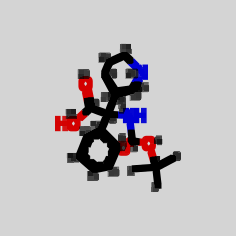 CC(C)(C)OC(=O)NC(C(=O)O)(c1ccccc1)C1CN2CCC1CC2